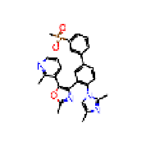 Cc1cn(-c2ccc(-c3cccc(S(C)(=O)=O)c3)cc2-c2nc(C)oc2-c2cccnc2C)c(C)n1